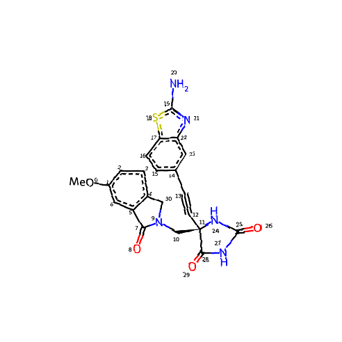 COc1ccc2c(c1)C(=O)N(C[C@@]1(C#Cc3ccc4sc(N)nc4c3)NC(=O)NC1=O)C2